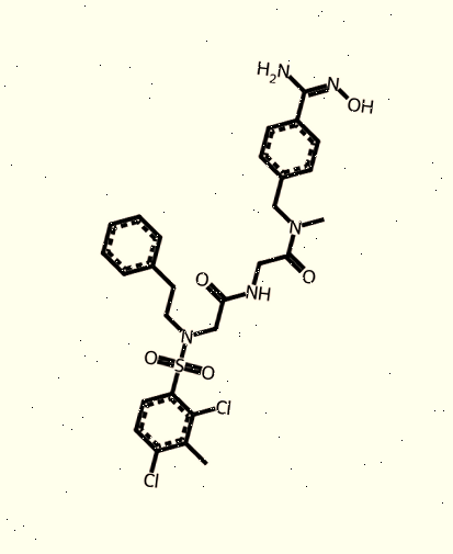 Cc1c(Cl)ccc(S(=O)(=O)N(CCc2ccccc2)CC(=O)NCC(=O)N(C)Cc2ccc(/C(N)=N\O)cc2)c1Cl